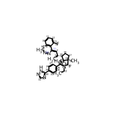 C=C(/C=C(\N=N/C)c1c(F)cccc1F)[C@@H]1CC[C@@](C)(CN(CC)C(=O)c2ccc(-c3ncn[nH]3)cc2)C1(C)C